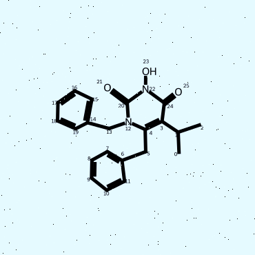 CC(C)c1c(Cc2ccccc2)n(Cc2ccccc2)c(=O)n(O)c1=O